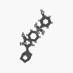 O=C1NC(C2CC3CCC2C3)=NC12CCN(S(=O)(=O)c1cccc(Cl)c1)CC2